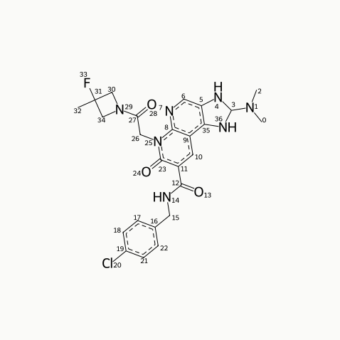 CN(C)C1Nc2cnc3c(cc(C(=O)NCc4ccc(Cl)cc4)c(=O)n3CC(=O)N3CC(C)(F)C3)c2N1